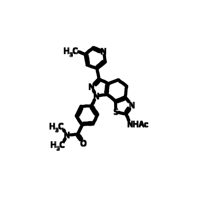 CC(=O)Nc1nc2c(s1)-c1c(c(-c3cncc(C)c3)nn1-c1ccc(C(=O)N(C)C)cc1)CC2